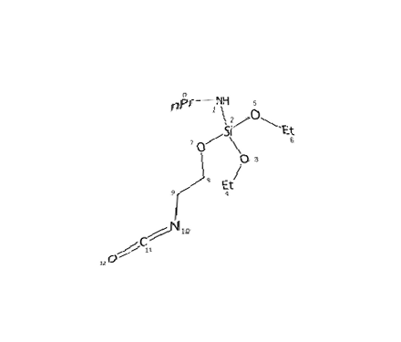 CCCN[Si](OCC)(OCC)OCCN=C=O